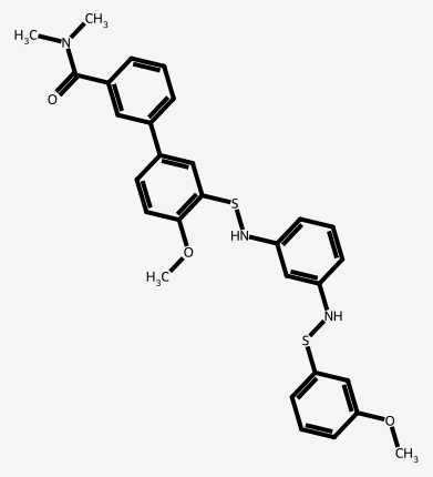 COc1cccc(SNc2cccc(NSc3cc(-c4cccc(C(=O)N(C)C)c4)ccc3OC)c2)c1